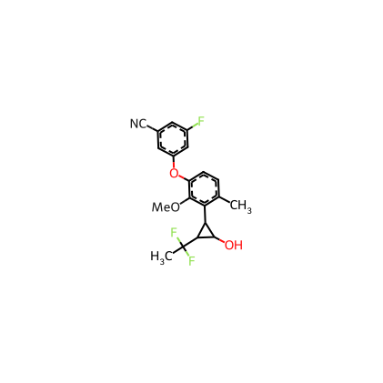 COc1c(Oc2cc(F)cc(C#N)c2)ccc(C)c1C1C(O)C1C(C)(F)F